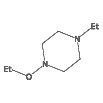 [CH2]CN1CCN(OCC)CC1